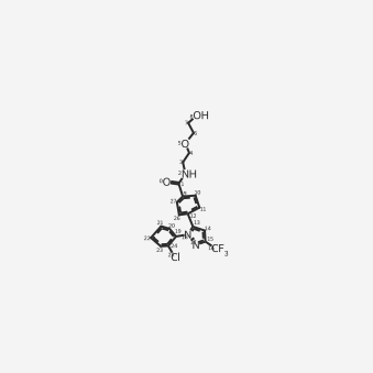 O=C(NCCOCCO)c1ccc(-c2cc(C(F)(F)F)nn2-c2ccccc2Cl)cc1